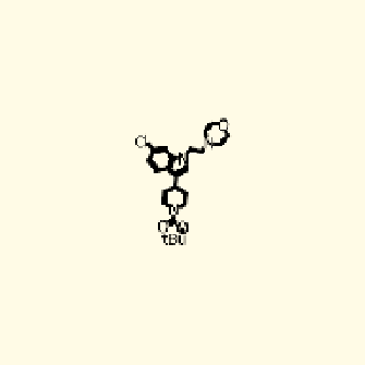 CC(C)(C)OC(=O)N1CCC(c2cn(CCN3CCOCC3)c3cc(Cl)ccc23)CC1